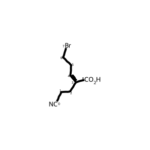 N#CCCC(=CCCBr)C(=O)O